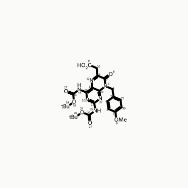 COc1ccc(Cn2c(=O)c(CC(=O)O)nc3c(NC(=O)OC(C)(C)C)nc(NC(=O)OC(C)(C)C)nc32)cc1